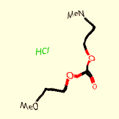 CNCCOC(=O)OCCOC.Cl